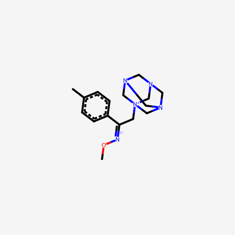 CO/N=C(/C[N+]12CN3CN(CN(C3)C1)C2)c1ccc(C)cc1